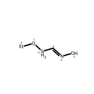 CCO[SiH2]C=NO